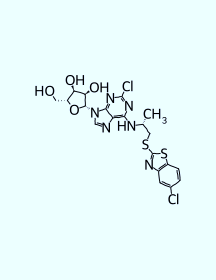 C[C@H](CSc1nc2cc(Cl)ccc2s1)Nc1nc(Cl)nc2c1ncn2[C@@H]1O[C@H](CO)[C@@H](O)[C@H]1O